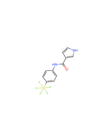 O=C(Nc1ccc(S(F)(F)(F)(F)F)cc1)c1cc[nH]c1